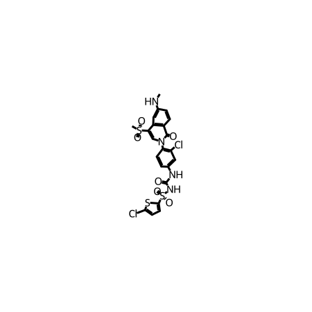 CNc1ccc2c(=O)n(-c3ccc(NC(=O)NS(=O)(=O)c4ccc(Cl)s4)cc3Cl)cc(S(C)(=O)=O)c2c1